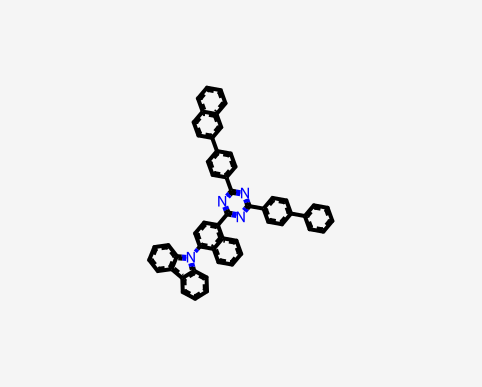 c1ccc(-c2ccc(-c3nc(-c4ccc(-c5ccc6ccccc6c5)cc4)nc(-c4ccc(-n5c6ccccc6c6ccccc65)c5ccccc45)n3)cc2)cc1